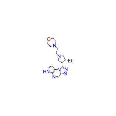 CCC1CN(CCN2CCOCC2)CC1c1nnc2cnc3[nH]ccc3n12